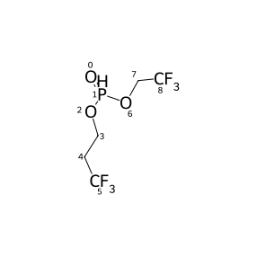 O=[PH](OCCC(F)(F)F)OCC(F)(F)F